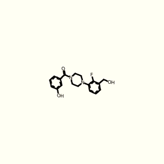 O=C(c1cccc(O)c1)N1CCN(c2cccc(CO)c2F)CC1